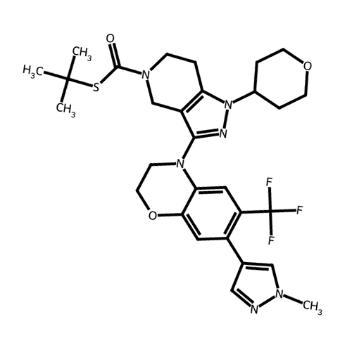 Cn1cc(-c2cc3c(cc2C(F)(F)F)N(c2nn(C4CCOCC4)c4c2CN(C(=O)SC(C)(C)C)CC4)CCO3)cn1